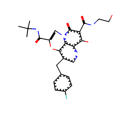 CC(C)(C)NC(=O)C1=Cn2c(=O)c(C(=O)NCCO)c(O)c3ncc(Cc4ccc(F)cc4)c(c32)O1